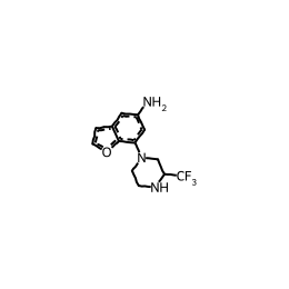 Nc1cc(N2CCNC(C(F)(F)F)C2)c2occc2c1